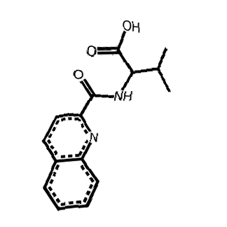 CC(C)C(NC(=O)c1ccc2ccccc2n1)C(=O)O